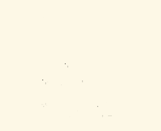 COc1c(C#N)c(N2CCC(c3ccccc3)CC2)nc2c1C(=O)CC(C)(C)C2